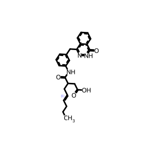 CCC/C=C/CC(CC(=O)O)C(=O)Nc1cccc(Cc2n[nH]c(=O)c3ccccc23)c1